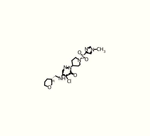 Cn1cnc(S(=O)(=O)N2CCC(n3ncc(NC[C@H]4CCCOC4)c(Cl)c3=O)CC2)c1